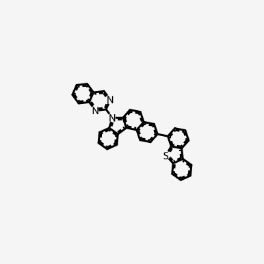 c1ccc2nc(-n3c4ccccc4c4c5ccc(-c6cccc7c6sc6ccccc67)cc5ccc43)ncc2c1